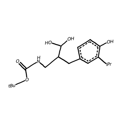 CC(C)c1cc(CC(CNC(=O)OC(C)(C)C)C(O)O)ccc1O